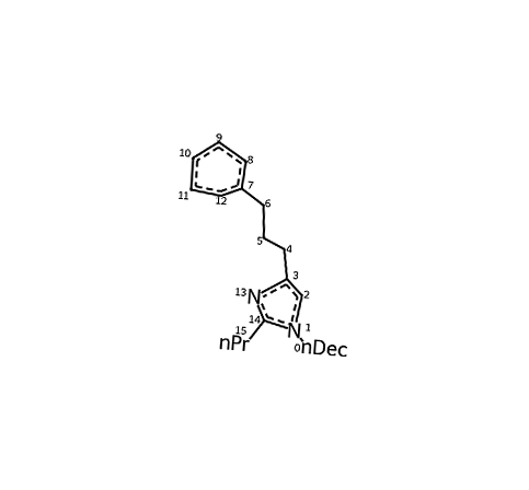 CCCCCCCCCCn1cc(CCCc2ccccc2)nc1CCC